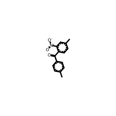 Cc1ccc(C(=O)c2ccc(C)cc2[N+](=O)[O-])cc1